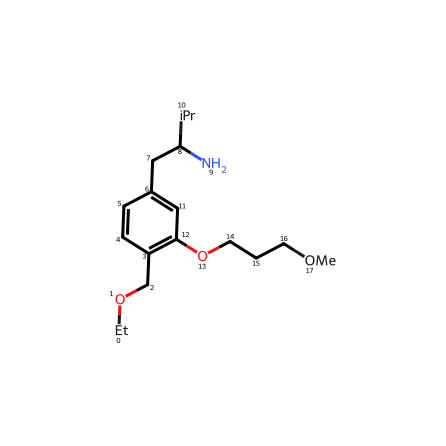 CCOCc1ccc(CC(N)C(C)C)cc1OCCCOC